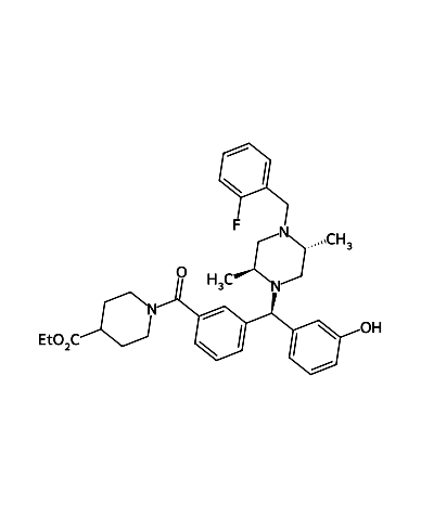 CCOC(=O)C1CCN(C(=O)c2cccc([C@H](c3cccc(O)c3)N3C[C@@H](C)N(Cc4ccccc4F)C[C@@H]3C)c2)CC1